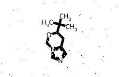 CC(C)(C)C1Cc2cncn2CO1